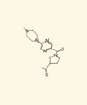 CC(=O)C1CCN(C(=O)c2cnc(N3CCN(C)CC3)cn2)C1